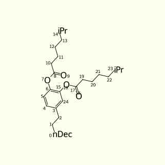 CCCCCCCCCCCCc1ccc(OC(=O)CCCCC(C)C)c(OC(=O)CCCCC(C)C)c1